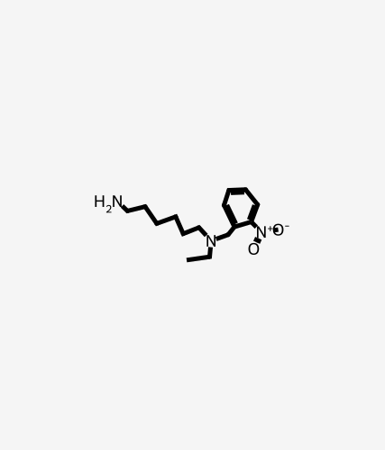 CCN(CCCCCCN)Cc1ccccc1[N+](=O)[O-]